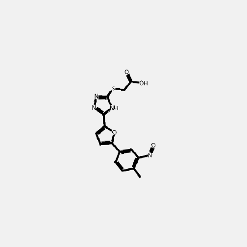 Cc1ccc(-c2ccc(-c3nnc(SCC(=O)O)[nH]3)o2)cc1N=O